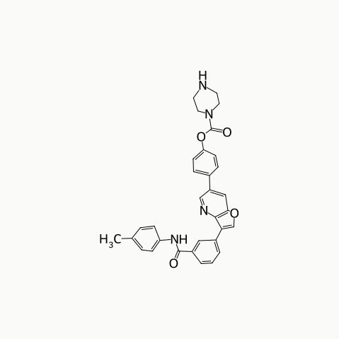 Cc1ccc(NC(=O)c2cccc(-c3coc4cc(-c5ccc(OC(=O)N6CCNCC6)cc5)cnc34)c2)cc1